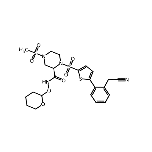 CS(=O)(=O)N1CCN(S(=O)(=O)c2ccc(-c3ccccc3CC#N)s2)[C@@H](C(=O)NOC2CCCCO2)C1